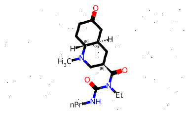 CCCNC(=O)N(CC)C(=O)[C@@H]1C[C@@H]2CC(=O)CC[C@H]2N(C)C1